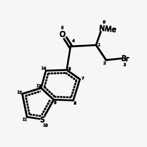 CNC(CBr)C(=O)c1ccc2sccc2c1